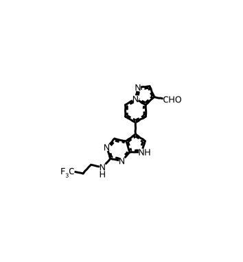 O=Cc1cnn2ccc(-c3c[nH]c4nc(NCCC(F)(F)F)ncc34)cc12